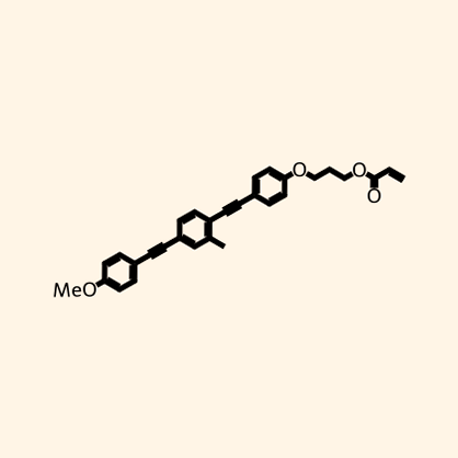 C=CC(=O)OCCCOc1ccc(C#Cc2ccc(C#Cc3ccc(OC)cc3)cc2C)cc1